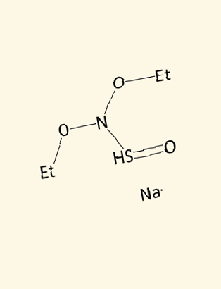 CCON(OCC)[SH]=O.[Na]